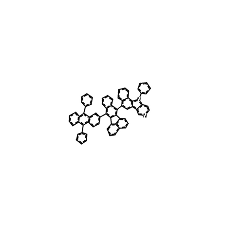 c1ccc(-c2c3ccccc3c(-c3ccccc3)c3cc(-c4c5c(c(-c6cc7c8cnccc8n(-c8ccccc8)c7c7ccccc67)c6ccccc46)-c4cccc6cccc-5c46)ccc23)cc1